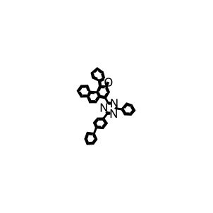 c1ccc(-c2ccc(-c3nc(-c4ccccc4)nc(-c4cc5oc6ccccc6c5c5c4ccc4ccccc45)n3)cc2)cc1